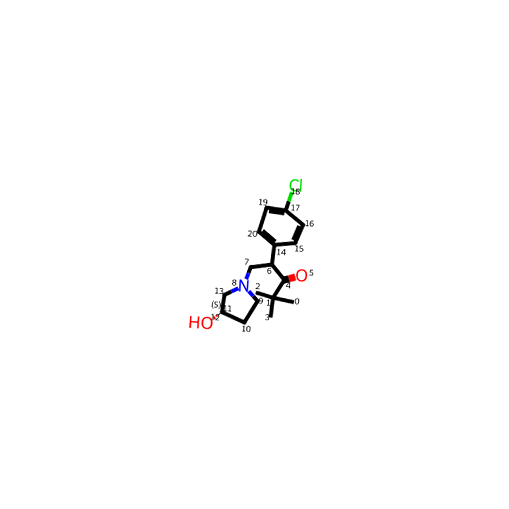 CC(C)(C)C(=O)C(CN1CC[C@H](O)C1)c1ccc(Cl)cc1